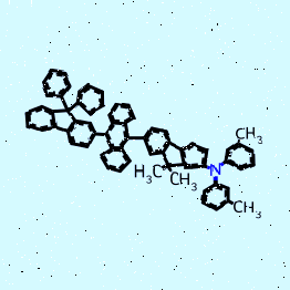 Cc1cccc(N(c2cccc(C)c2)c2ccc3c(c2)C(C)(C)c2cc(-c4c5ccccc5c(-c5ccc6c(c5)C(c5ccccc5)(c5ccccc5)c5ccccc5-6)c5ccccc45)ccc2-3)c1